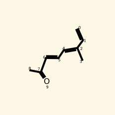 C=CC(C)=CC=CC(C)=O